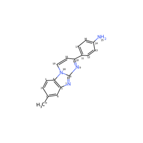 Cc1ccc2c(c1)nc1nc(-c3ccc(N)cc3)ccn12